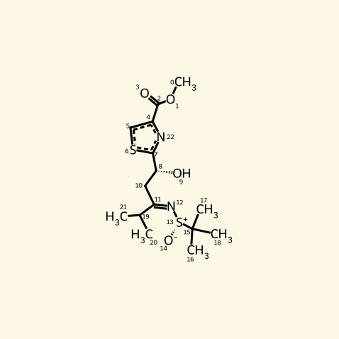 COC(=O)c1csc([C@H](O)CC(=N[S@@+]([O-])C(C)(C)C)C(C)C)n1